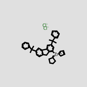 CC(C)(c1ccccc1)c1ccc2c(c1)-c1cc(C(C)(C)c3ccccc3)c[c]([Zr+2]([C]3=CC=CC3)=[C]3CCCC3)c1C2.[Cl-].[Cl-]